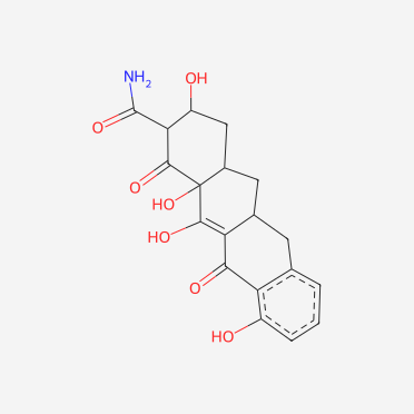 NC(=O)C1C(=O)C2(O)C(O)=C3C(=O)c4c(O)cccc4CC3CC2CC1O